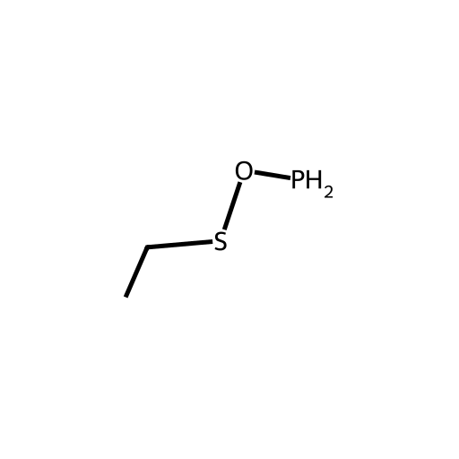 CCSOP